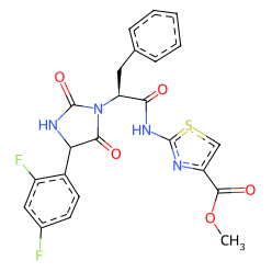 COC(=O)c1csc(NC(=O)[C@H](Cc2ccccc2)N2C(=O)NC(c3ccc(F)cc3F)C2=O)n1